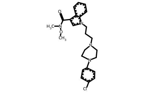 CON(C)C(=O)c1cn(CCCN2CCN(c3ccc(Cl)cc3)CC2)c2ccccc12